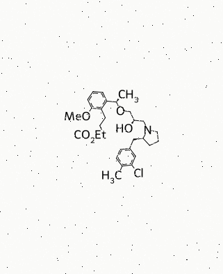 CCOC(=O)CCc1c(OC)cccc1[C@@H](C)OC[C@H](O)CN1CCC[C@H]1Cc1ccc(C)c(Cl)c1